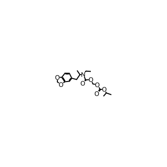 CCN(C(=O)OCOC(=O)OC(C)C)C(C)Cc1ccc2c(c1)OCO2